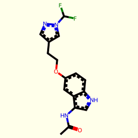 CC(=O)Nc1c[nH]c2ccc(OCCc3cnn(C(F)F)c3)cc12